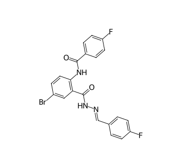 O=C(Nc1ccc(Br)cc1C(=O)N/N=C/c1ccc(F)cc1)c1ccc(F)cc1